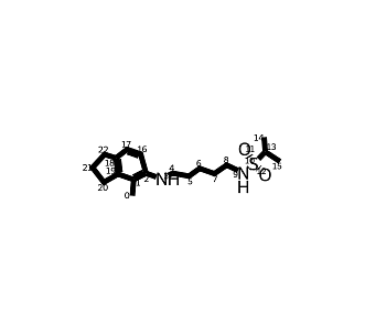 Cc1c(NCCCCCNS(=O)(=O)C(C)C)ccc2c1CCC2